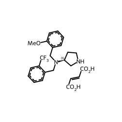 COc1ccccc1CN(Cc1ccccc1C(F)(F)F)[C@H]1CCNC1.O=C(O)C=CC(=O)O